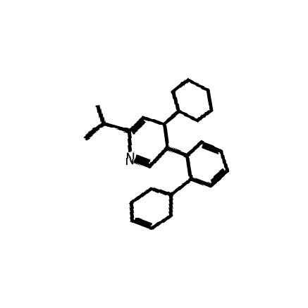 CC(C)C1=CC(C2CCCCC2)C(C2C=CC=CC2C2CC=CCC2)C=N1